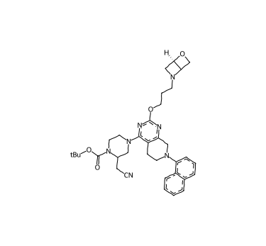 CC(C)(C)OC(=O)N1CCN(c2nc(OCCCN3C[C@H]4OCC43)nc3c2CCN(c2cccc4ccccc24)C3)CC1CC#N